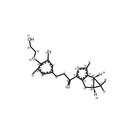 CCc1cc(CCC(=O)c2sc(C)c3c2C[C@@H]2[C@H]3C2(C)C)cc(C)c1OCCO